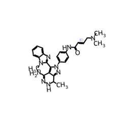 CC1NN=C(N)c2c1nn(-c1ccc(NC(=O)/C=C/CN(C)C)cc1)c2-c1nc2ccccc2n1C